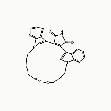 O=C1NC(=O)C2=C1c1cn(c3ncccc13)CCCCCNCCCCn1cc2c2cccnc21